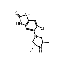 C[C@@H]1CN(c2cc3[nH]c(=S)[nH]c3cc2Cl)C[C@H](C)N1